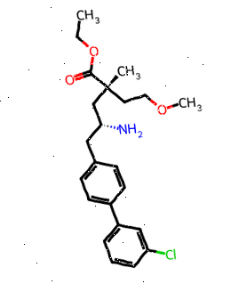 CCOC(=O)[C@](C)(CCOC)C[C@H](N)Cc1ccc(-c2cccc(Cl)c2)cc1